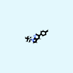 C=C1CCC(c2cnc3c(ccn3[Si](C)(C)C(C)(C)C)c2)CC1